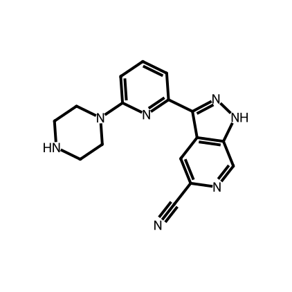 N#Cc1cc2c(-c3cccc(N4CCNCC4)n3)n[nH]c2cn1